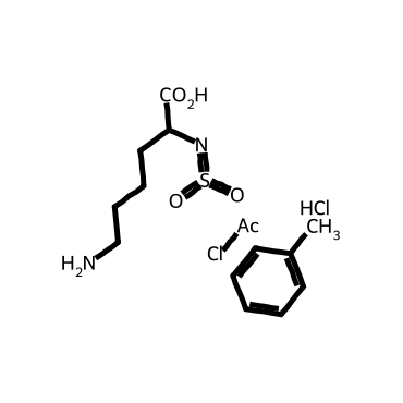 CC(=O)Cl.Cc1ccccc1.Cl.NCCCCC(N=S(=O)=O)C(=O)O